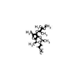 B[C@@H]1O[C@H](CC)C(OP(C)OCC[N+]#[C-])[C@@H]1O[C@H](C)[C@@H](C)OC